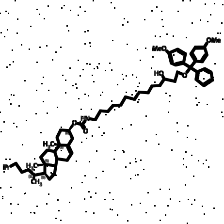 COc1ccc(C(OCCC(O)CCCCCCCCCCCNC(=O)O[C@@H]2CC[C@]3(C)C(=CCC4C3CC[C@]3(C)C4CC[C@H]3[C@@H](C)CCCC(C)C)C2)(c2ccccc2)c2ccc(OC)cc2)cc1